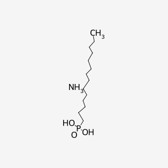 CCCCCCCCCCCCCCP(=O)(O)O.N